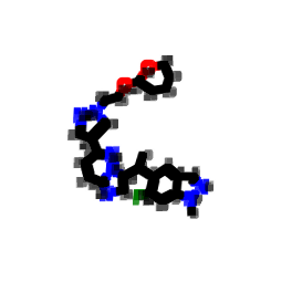 CC(c1cc2cnn(C)c2cc1F)c1cnc2ccc(-c3cnn(CCOC4CCCCO4)c3)nn12